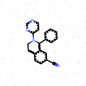 N#Cc1ccc2c(c1)=C(c1ccccc1)N(c1ccncn1)CC=2